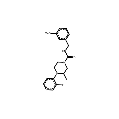 COc1cccc(CNC(=O)N2CCN(c3ccncc3F)C(C)C2)c1